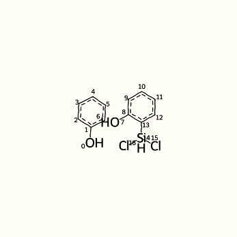 Oc1ccccc1.Oc1ccccc1[SiH](Cl)Cl